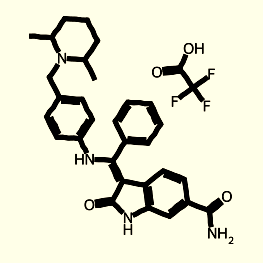 CC1CCCC(C)N1Cc1ccc(N/C(=C2\C(=O)Nc3cc(C(N)=O)ccc32)c2ccccc2)cc1.O=C(O)C(F)(F)F